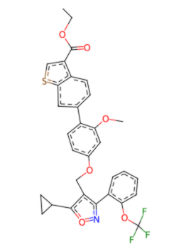 CCOC(=O)c1csc2cc(-c3ccc(OCc4c(-c5ccccc5OC(F)(F)F)noc4C4CC4)cc3OC)ccc12